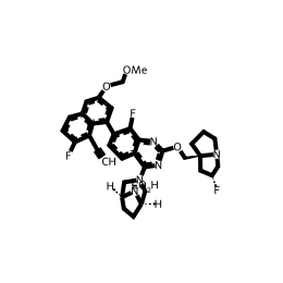 C#Cc1c(F)ccc2cc(OCOC)cc(-c3ccc4c(N5C[C@H]6CC[C@@H](C5)N6C(=O)O)nc(OC[C@@]56CCCN5C[C@H](F)C6)nc4c3F)c12